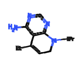 CCC1=CCN(C(C)C)c2ncnc(N)c21